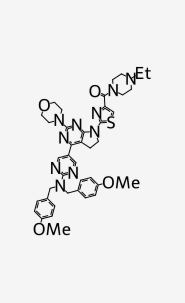 CCN1CCN(C(=O)c2csc(N3CCc4c(-c5cnc(N(Cc6ccc(OC)cc6)Cc6ccc(OC)cc6)nc5)nc(N5CCOCC5)nc43)n2)CC1